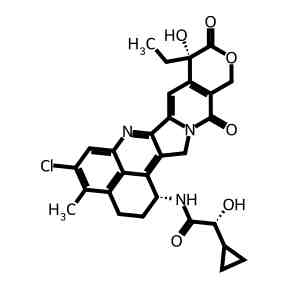 CC[C@@]1(O)C(=O)OCc2c1cc1n(c2=O)Cc2c-1nc1cc(Cl)c(C)c3c1c2[C@H](NC(=O)[C@H](O)C1CC1)CC3